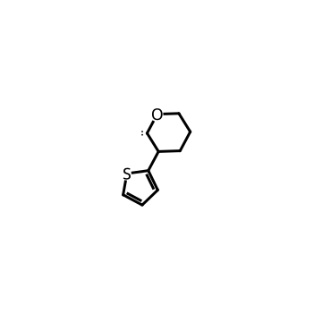 [C]1OCCCC1c1cccs1